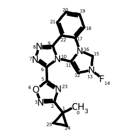 CC1(c2noc(-c3nnc4n3C3=CN(F)CN3c3ccccc3-4)n2)CC1